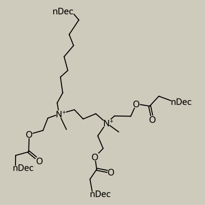 CCCCCCCCCCCCCCCCCC[N+](C)(CCC[N+](C)(CCOC(=O)CCCCCCCCCCC)CCOC(=O)CCCCCCCCCCC)CCOC(=O)CCCCCCCCCCC